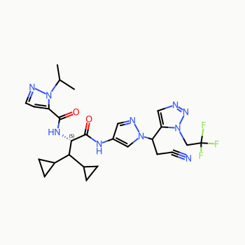 CC(C)n1nccc1C(=O)N[C@H](C(=O)Nc1cnn(C(CC#N)c2cnnn2CC(F)(F)F)c1)C(C1CC1)C1CC1